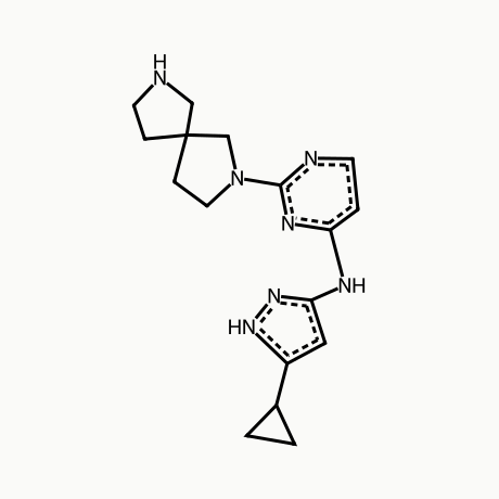 c1cc(Nc2cc(C3CC3)[nH]n2)nc(N2CCC3(CCNC3)C2)n1